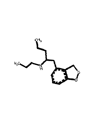 CCCNC(CCC)Cc1cccc2c1COO2